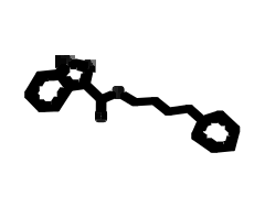 O=C(OCCCCc1ccccc1)c1n[nH]c2ccccc12